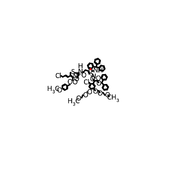 COCCOCOc1cc(Cl)c(C(ON=S2C=C(CC(=O)N[C@@H]3C4O[N+]45C(C(=O)OCc4ccc(OC)cc4)=C(C=CCCl)CSC35)N=C2NC(c2ccccc2)(c2ccccc2)c2ccccc2)C(=O)OC(c2ccccc2)c2ccccc2)cc1OCOCCOC